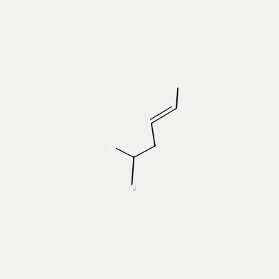 CC=CCC(O)CCC